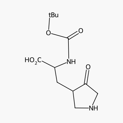 CC(C)(C)OC(=O)NC(CC1CNCC1=O)C(=O)O